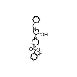 O=S(=O)(c1ccccc1F)N1CCN([C@H]2CN(Cc3ccccc3)C[C@@H]2O)CC1